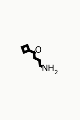 NCCCC(=O)C1CCC1